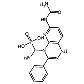 CCCC(N1C(c2ccccc2)=CNc2ccc(NC(N)=O)nc21)P(=O)(O)O